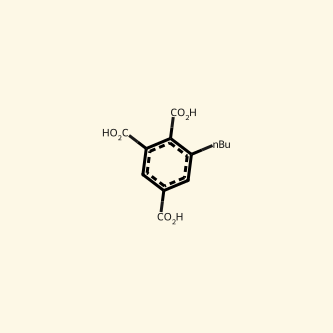 CCCCc1cc(C(=O)O)cc(C(=O)O)c1C(=O)O